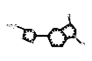 CCOC(=O)c1cnc(-c2ccc3c(c2)c(Cl)cn3C(C)C)s1